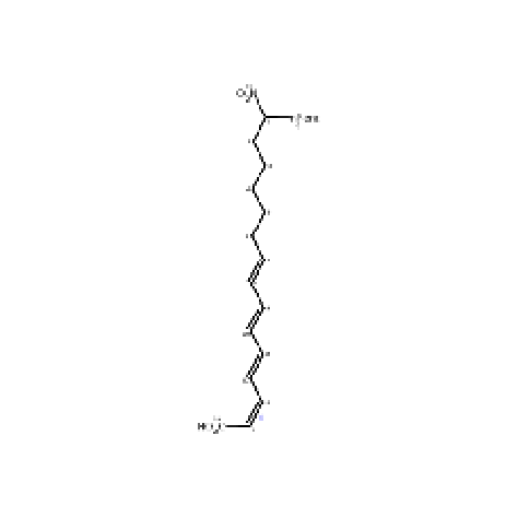 CCCCCC(CCCCCC=CC=CC=C/C=C\C(=O)O)[N+](=O)[O-]